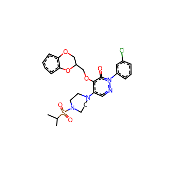 CC(C)S(=O)(=O)N1CCN(c2cnn(-c3cccc(Cl)c3)c(=O)c2OCC2COc3ccccc3O2)CC1